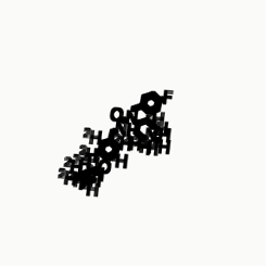 [2H]c1c([2H])c(OC([2H])([2H])C([2H])(C([2H])([2H])[2H])C([2H])([2H])[2H])c([2H])c([2H])c1CNC(=O)N(Cc1ccc(F)cc1)C1CC([2H])([2H])N(C([2H])([2H])[2H])C([2H])([2H])C1